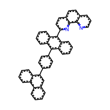 c1ccc2c(c1)cc(-c1ccc(-c3c4ccccc4c(-c4ccc5ccc6cccnc6c5n4)c4ccccc34)cc1)c1ccccc12